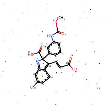 COC(=O)Nc1cccc(C2(C(=O)O)N=c3cc(Cl)ccc3=C2C=CC(=O)O)c1